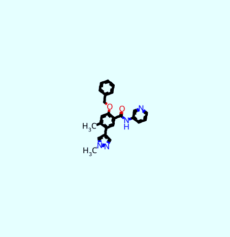 Cc1cc(OCc2ccccc2)c(C(=O)Nc2cccnc2)cc1-c1cnn(C)c1